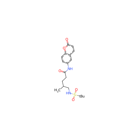 CC(CCC(=O)Nc1ccc2oc(=O)ccc2c1)CNS(=O)(=O)C(C)(C)C